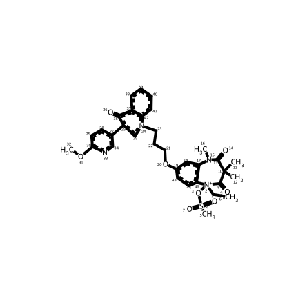 CC[N+]1(OS(C)(=O)=O)C(=O)C(C)(C)C(=O)N(C)c2cc(OCCCn3cc(-c4ccc(OC)nc4)c(=O)c4ccccc43)ccc21